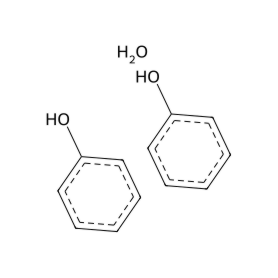 O.Oc1ccccc1.Oc1ccccc1